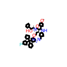 COc1ccc([C@@H](Nc2ccc(CN)cc2)[C@@H](CCCOc2cccc(C(c3ccccc3)(c3ccccc3)c3ccc(F)cc3)c2)C(=O)N(C)[C@@H](C)[C@@H](O)c2ccccc2)cc1